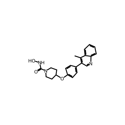 Cc1c(-c2ccc(OC3CCN(C(=O)NO)CC3)cc2)cnc2ccccc12